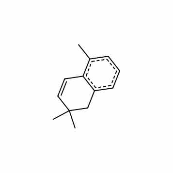 Cc1cccc2c1C=CC(C)(C)C2